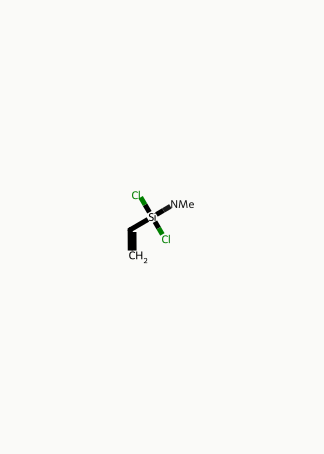 C=C[Si](Cl)(Cl)NC